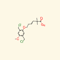 COc1cc(CCl)c(OCCCCC(C)(C)C(=O)O)cc1CCl